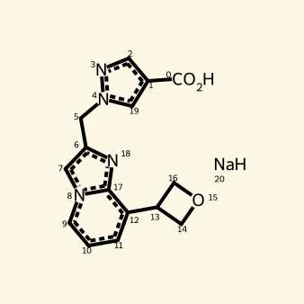 O=C(O)c1cnn(Cc2cn3cccc(C4COC4)c3n2)c1.[NaH]